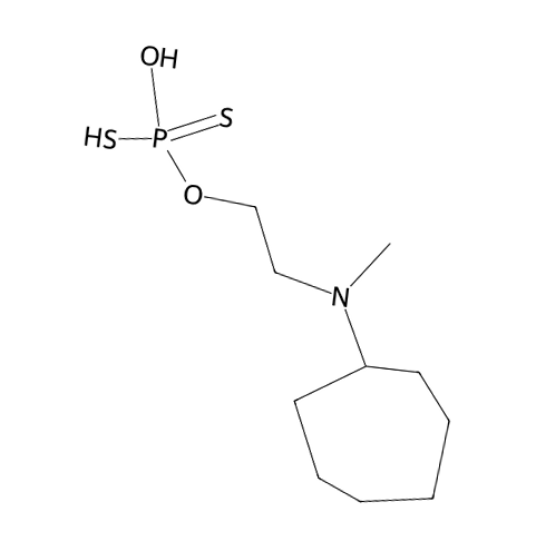 CN(CCOP(O)(=S)S)C1CCCCCC1